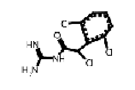 N=C(N)NC(=O)C(Cl)c1c(Cl)cccc1Cl